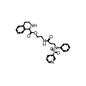 O=C(CCN(c1ccccc1)S(=O)(=O)c1cccnc1)NCCOC(=O)C1NCCc2ccccc21